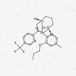 CCCOc1cc(C)ccc1O[C@@H]1[C@@H]2CCC[C@H]1CN(c1ccc(C(F)(F)F)cn1)C2